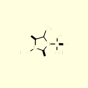 CCC(C)C1C(=O)N(C)C(=O)N1P(=O)(O)S